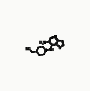 N#CCC1CCN(Nc2c(N)cnc3ccsc23)CC1